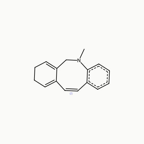 CN1CC2=CCCC=C2/C=C\c2ccccc21